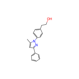 Cc1cc(-c2ccccc2)nn1-c1ccc(CCO)cc1